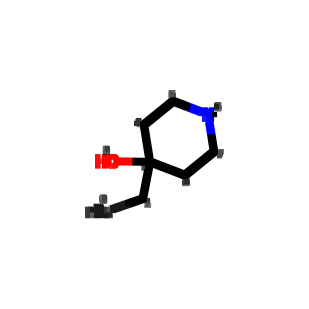 CCCCCC1(O)CC[N]CC1